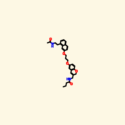 CCCC(=O)NCC1=Cc2cc(OCCCOc3ccc4cccc(CCNC(C)=O)c4c3)ccc2OC1